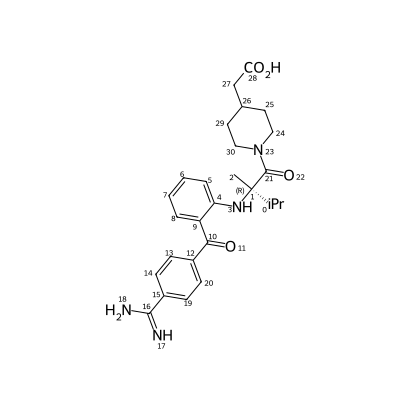 CC(C)[C@@](C)(Nc1ccccc1C(=O)c1ccc(C(=N)N)cc1)C(=O)N1CCC(CC(=O)O)CC1